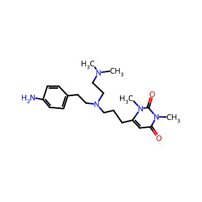 CN(C)CCN(CCCc1cc(=O)n(C)c(=O)n1C)CCc1ccc(N)cc1